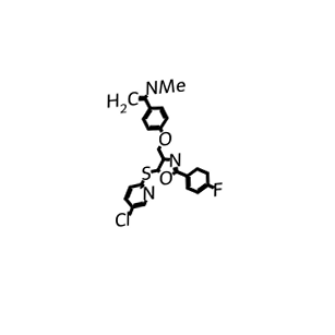 C=C(NC)c1ccc(OCC2N=C(C3=CC=C(F)CC3)OC2Sc2ccc(Cl)cn2)cc1